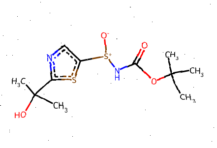 CC(C)(C)OC(=O)N[S+]([O-])c1cnc(C(C)(C)O)s1